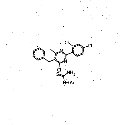 CC(=O)NC(N)=S.Cc1nc(-c2ccc(Cl)cc2Cl)nc(Cl)c1Cc1ccccc1